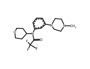 CN1CCN(c2cc[c]c(N(C(=O)C(F)(F)F)C3CCOCC3)c2)CC1